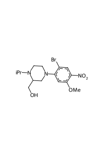 COc1cc(N2CCN(C(C)C)C(CO)C2)c(Br)cc1[N+](=O)[O-]